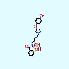 COc1ccc(OC2CCN(CCCCN3C(=O)c4ccccc4S3(O)O)C2)cc1